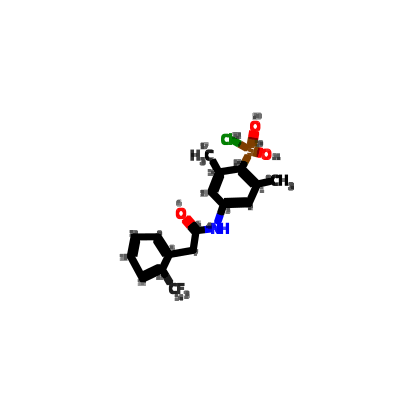 Cc1cc(NC(=O)Cc2ccccc2C(F)(F)F)cc(C)c1S(=O)(=O)Cl